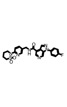 O=C(NCc1ccc(N2CCCCS2(=O)=O)nc1)c1cncc2c1cnn2-c1ccc(F)cc1